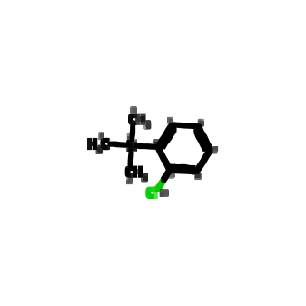 C[Si](C)(C)c1ccccc1Cl